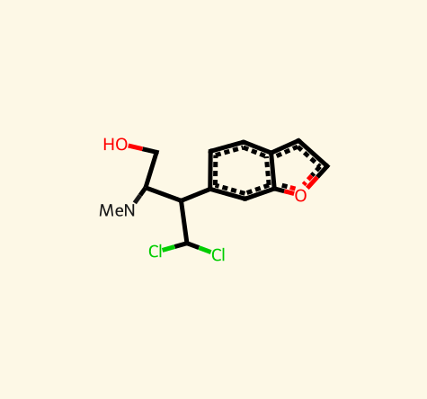 CNC(CO)C(c1ccc2ccoc2c1)C(Cl)Cl